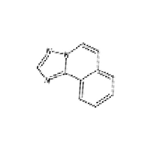 c1ccc2c(c1)ccn1ncnc21